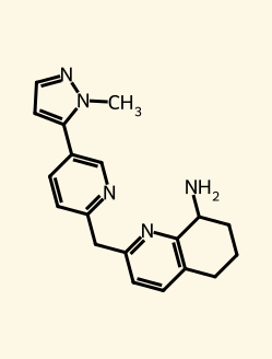 Cn1nccc1-c1ccc(Cc2ccc3c(n2)C(N)CCC3)nc1